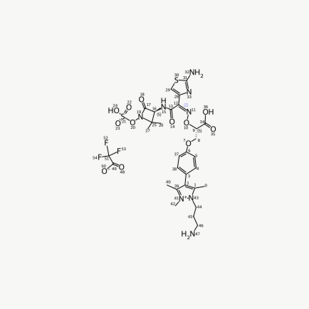 Cc1c(-c2ccc(OC[C@H](O/N=C(\C(=O)N[C@@H]3C(=O)N(OS(=O)(=O)O)C3(C)C)c3csc(N)n3)C(=O)O)cc2)c(C)[n+](C)n1CCCN.O=C([O-])C(F)(F)F